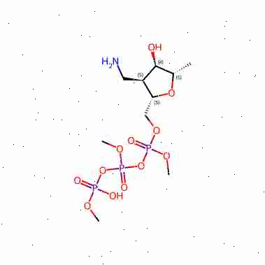 COP(=O)(O)OP(=O)(OC)OP(=O)(OC)OC[C@H]1O[C@@H](C)[C@H](O)[C@@H]1CN